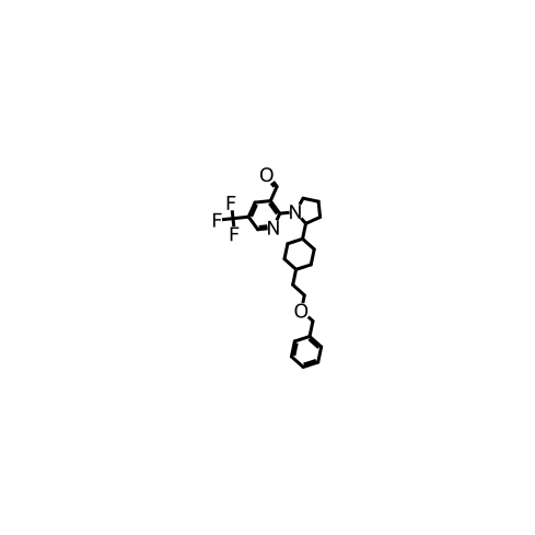 O=Cc1cc(C(F)(F)F)cnc1N1CCCC1C1CCC(CCOCc2ccccc2)CC1